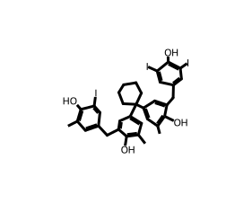 Cc1cc(Cc2cc(C3(c4cc(C)c(O)c(Cc5cc(I)c(O)c(I)c5)c4)CCCCC3)cc(C)c2O)cc(I)c1O